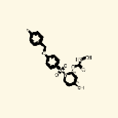 O=C(NO)O[C@@H]1C[C@@H](O)CCN1S(=O)(=O)c1ccc(OCc2ccc(F)cc2)cc1